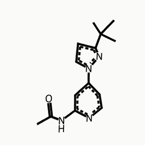 CC(=O)Nc1cc(-n2ccc(C(C)(C)C)n2)ccn1